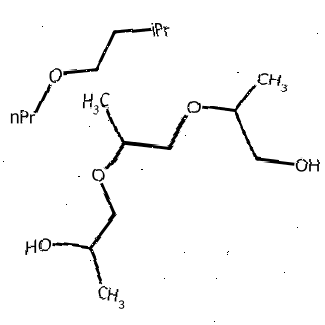 CC(O)COC(C)COC(C)CO.CCCOCCC(C)C